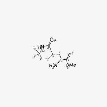 COC(=O)[C@@H](N)CC1CCC(C)(C)NC1=O